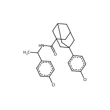 CC(NC(=O)C12CC3CC(C1)CC(c1ccc(Cl)cc1)(C3)C2)c1ccc(Cl)cc1